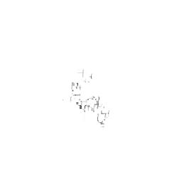 CC(O)CSc1cc(-c2n[nH]c3nc(Oc4ccc(F)cc4F)ncc23)c(Cl)cn1